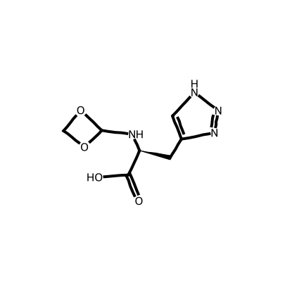 O=C(O)[C@H](Cc1c[nH]nn1)NC1OCO1